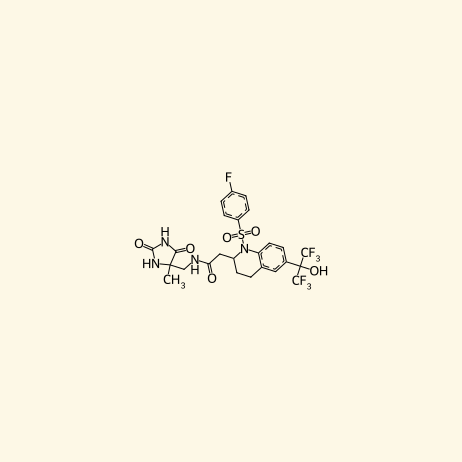 CC1(CNC(=O)CC2CCc3cc(C(O)(C(F)(F)F)C(F)(F)F)ccc3N2S(=O)(=O)c2ccc(F)cc2)NC(=O)NC1=O